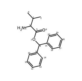 CC(C)C(N)C(=O)OC(c1ccccc1)c1ccccc1